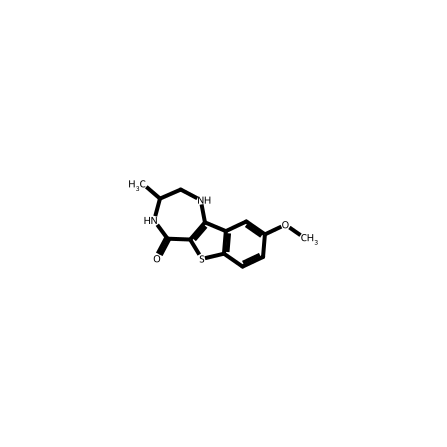 COc1ccc2sc3c(c2c1)NCC(C)NC3=O